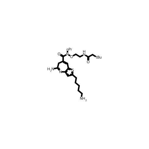 CCCN(OCCNC(=O)CC(C)(C)C)C(=O)C1=Cc2sc(CCCCCN)cc2N=C(N)C1